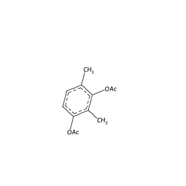 CC(=O)Oc1ccc(C)c(OC(C)=O)c1C